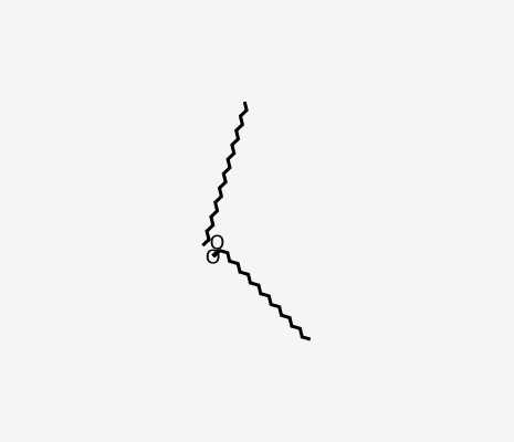 CCCCCCCCCCCCCCCCCCCC(C)OC(=O)CCCCCCCCCCCCCCCCC